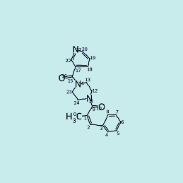 CC(=Cc1ccccc1)C(=O)N1CCN(C(=O)c2cccnc2)CC1